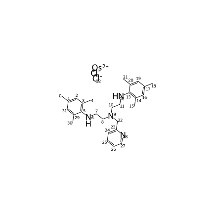 Cc1cc(C)c(NCCN(CCNc2c(C)cc(C)cc2C)Cc2ccccn2)c(C)c1.[Cl-].[Cl-].[Os+2]